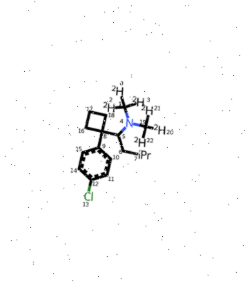 [2H]C([2H])([2H])N(C(CC(C)C)C1(c2ccc(Cl)cc2)CCC1)C([2H])([2H])[2H]